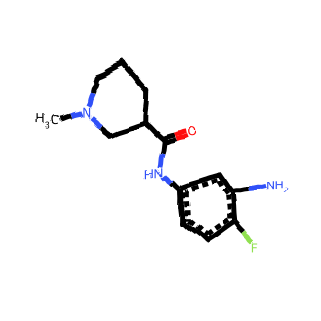 CN1CCCC(C(=O)Nc2ccc(F)c(N)c2)C1